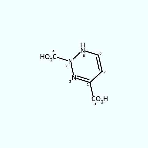 O=C(O)C1=NN(C(=O)O)NC=C1